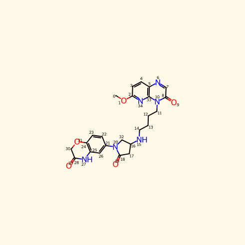 COc1ccc2ncc(=O)n(CCCCNC3CC(=O)N(c4ccc5c(c4)NC(=O)CO5)C3)c2n1